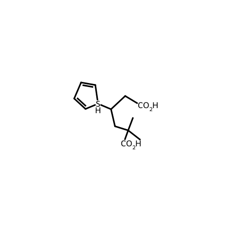 CC(C)(CC(CC(=O)O)[SH]1C=CC=C1)C(=O)O